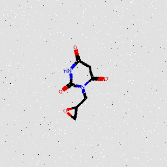 O=C1CC(=O)N(CC2CO2)C(=O)N1